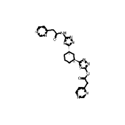 O=C(Cc1ccncn1)Nc1nnc([C@H]2CCC[C@H](c3nnc(OC(=O)Cc4ccncn4)s3)C2)s1